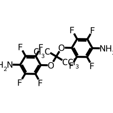 Nc1c(F)c(F)c(OC(Oc2c(F)c(F)c(N)c(F)c2F)(C(Cl)(Cl)Cl)C(Cl)(Cl)Cl)c(F)c1F